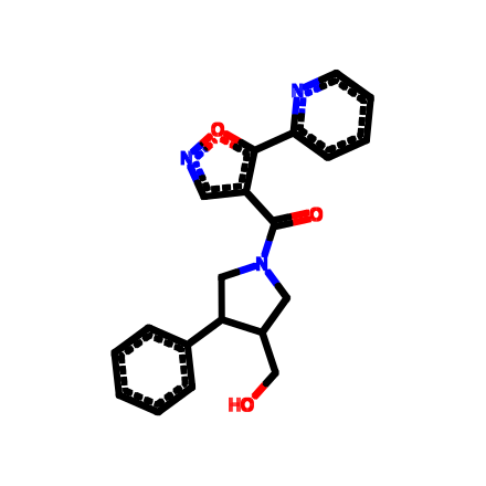 O=C(c1cnoc1-c1ccccn1)N1CC(CO)C(c2ccccc2)C1